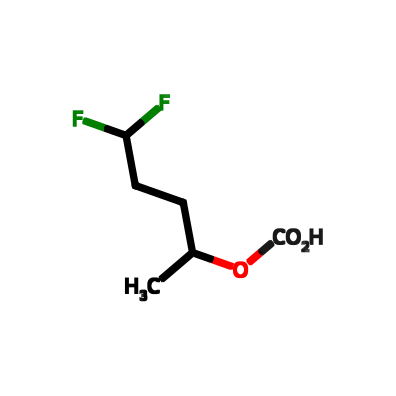 CC(CCC(F)F)OC(=O)O